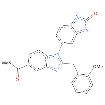 CNC(=O)c1ccc2c(c1)nc(Cc1ccccc1OC)n2-c1ccc2[nH]c(=O)[nH]c2c1